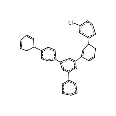 Clc1cccc(C2C=C(c3cc(-c4ccc(C5C=CC=CC5)cc4)nc(-c4ccccc4)n3)C=CC2)c1